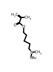 C=C(C)C(=O)OCCCCCN(C)CCCC